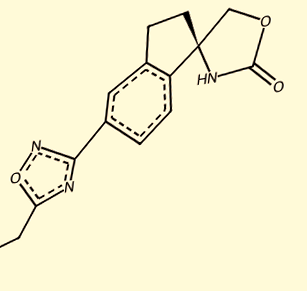 CCc1nc(-c2ccc3c(c2)CC[C@]32COC(=O)N2)no1